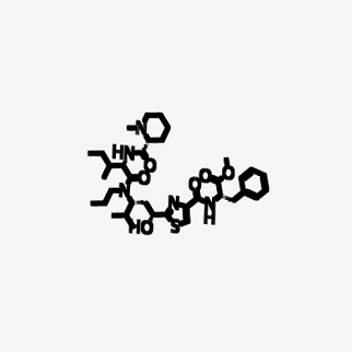 CCCN(C(=O)[C@@H](NC(=O)[C@H]1CCCCN1C)C(C)CC)[C@H](C[C@@H](O)c1nc(C(=O)N[C@@H](Cc2ccccc2)C(=O)OC)cs1)C(C)C